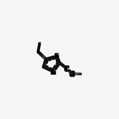 CCc1cnc(COC)s1